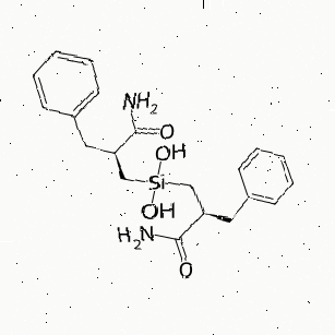 NC(=O)[C@H](Cc1ccccc1)C[Si](O)(O)C[C@@H](Cc1ccccc1)C(N)=O